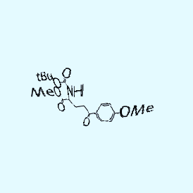 COC(=O)C(CCC(=O)c1ccc(OC)cc1)NC(=O)OC(C)(C)C